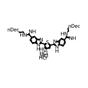 CCCCCCCCCCCCNC(=N)c1ccc2[nH]c(-c3ccc(-c4nc5cc(C(=N)NCCCCCCCCCCCC)ccc5[nH]4)s3)nc2c1.Cl.Cl.Cl.Cl